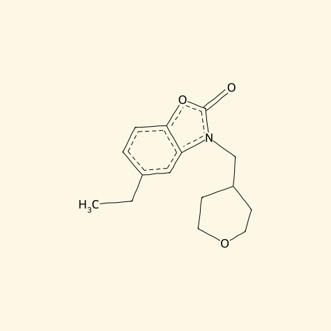 CCc1ccc2oc(=O)n(CC3CCOCC3)c2c1